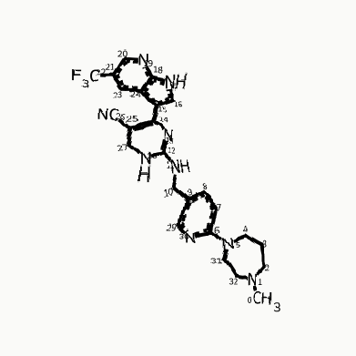 CN1CCCN(c2ccc(CNC3=NC(c4c[nH]c5ncc(C(F)(F)F)cc45)=C(C#N)CN3)cn2)CC1